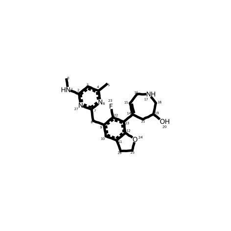 CNc1cc(C)nc(Cc2cc3c(c(C4=CCNCC(O)C4)c2F)OCC3)n1